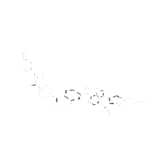 COCCn1cc(-c2cnc3c(Nc4ccc(C(=O)N5CCN(C(=O)N[C@@H]6CCNC6)CC5)c(Cl)c4)nccn23)c(C(F)(F)F)n1